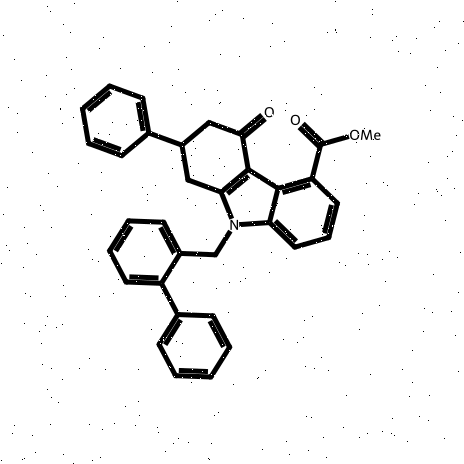 COC(=O)c1cccc2c1c1c(n2Cc2ccccc2-c2ccccc2)CC(c2ccccc2)CC1=O